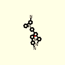 N#Cc1ccc2c(c1)c1ccccc1n2-c1ccc(-c2ccc(-c3cccc(C#N)c3-n3c4ccccc4c4ccc(C#N)cc43)cc2)cc1